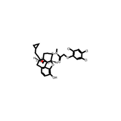 CN(C(=O)COc1cc(Cl)c(Cl)cc1Cl)[C@H]1CC[C@@]2(O)[C@H]3Cc4ccc(O)c5c4[C@@]2(CCN3CC2CC2)[C@H]1O5